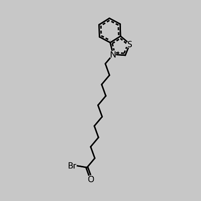 O=C(Br)CCCCCCCCCC[n+]1csc2ccccc21